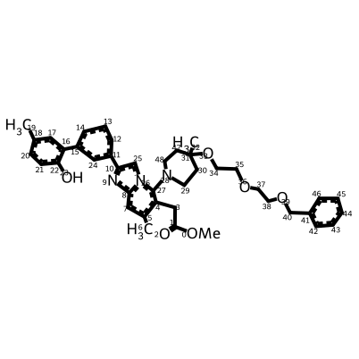 COC(=O)Cc1c(C)cc2nc(-c3cccc(-c4cc(C)ccc4O)c3)cn2c1N1CCC(C)(OCCOCCOCc2ccccc2)CC1